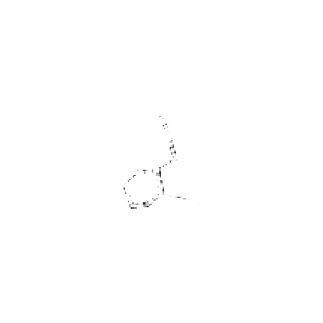 Cc1cccnc1N=[N+]=[N-]